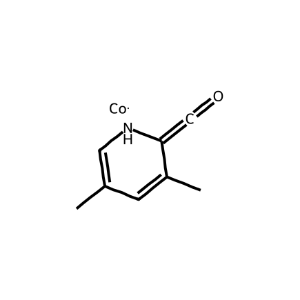 CC1=CNC(=C=O)C(C)=C1.[Co]